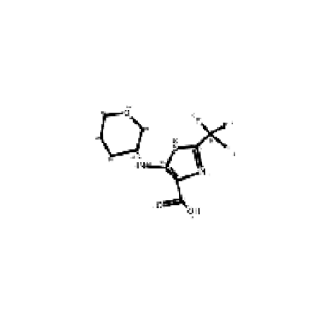 O=C(O)c1nc(C(F)(F)F)sc1N[C@@H]1CCCOC1